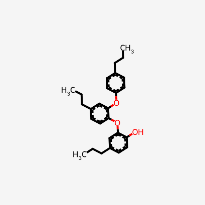 CCCc1ccc(Oc2cc(CCC)ccc2Oc2cc(CCC)ccc2O)cc1